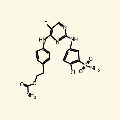 NC(=O)OCCc1ccc(Nc2nc(Nc3ccc(Cl)c(S(N)(=O)=O)c3)ncc2F)cc1